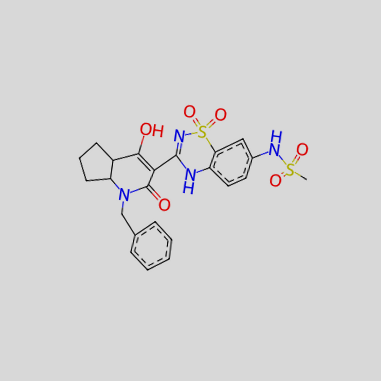 CS(=O)(=O)Nc1ccc2c(c1)S(=O)(=O)N=C(C1=C(O)C3CCCC3N(Cc3ccccc3)C1=O)N2